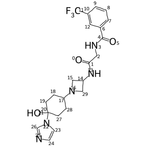 O=C(CNC(=O)c1cccc(C(F)(F)F)c1)NC1CN(C2CCC(O)(n3ccnc3)CC2)C1